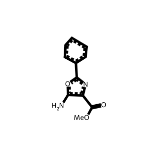 COC(=O)c1nc(-c2ccccc2)oc1N